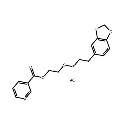 Cl.O=C(OCCSSCCc1ccc2c(c1)OCO2)c1cccnc1